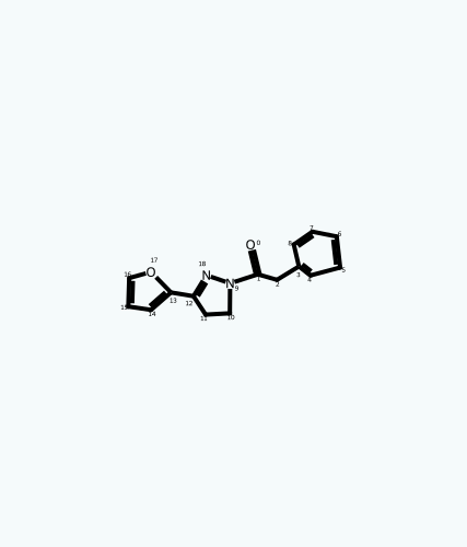 O=C(Cc1ccccc1)N1CCC(c2ccco2)=N1